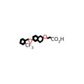 O=C(O)CCOC1CCc2cc(OCc3ccccc3C(F)(F)F)ccc2C1